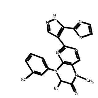 CCC1C(=O)N(C)c2cnc(-c3cn[nH]c3-c3nccs3)nc2N1c1cccc(C#N)c1